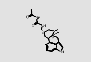 CC(=O)NC(=O)NC[C@H]1CC2c3cccc4[nH]cc(c34)C[C@H]2N(C)C1